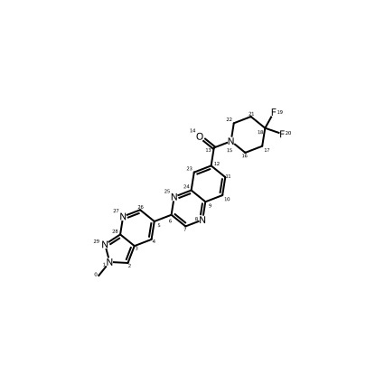 Cn1cc2cc(-c3cnc4ccc(C(=O)N5CCC(F)(F)CC5)cc4n3)cnc2n1